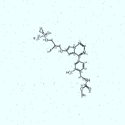 Cc1cc(-c2ncnn3cc(OCC(F)COS(=O)(=O)C(F)(F)F)cc23)ccc1CNC(=O)OC(C)(C)C